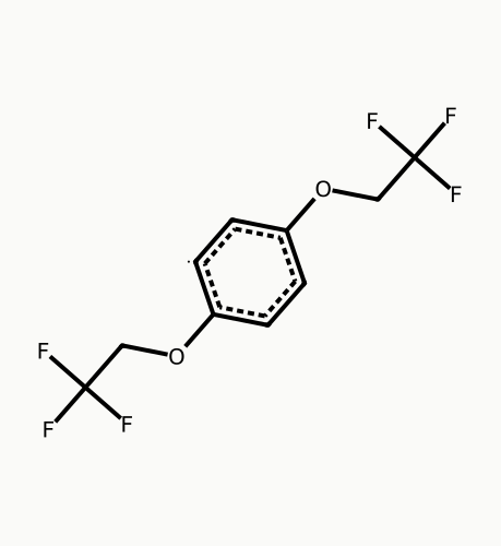 FC(F)(F)COc1[c]cc(OCC(F)(F)F)cc1